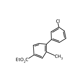 CCOC(=O)c1ccc(-c2cccc(Cl)c2)c(C)c1